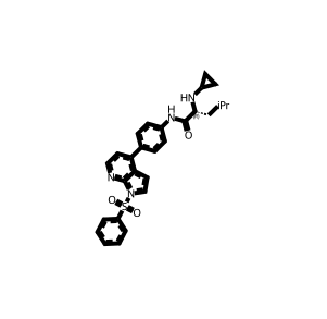 CC(C)C[C@@H](NC1CC1)C(=O)Nc1ccc(-c2ccnc3c2ccn3S(=O)(=O)c2ccccc2)cc1